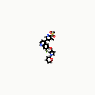 Cc1cc(-c2ccnc3cc(F)c(O[C@H]4CCN(C5C[CH]CCO5)C4)cc23)cnc1S(C)(=O)=O